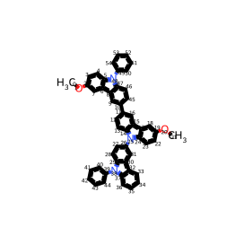 COc1ccc2c(c1)c1cc(-c3ccc4c(c3)c3cc(OC)ccc3n4-c3ccc4c(c3)c3ccccc3n4-c3ccccc3)ccc1n2-c1ccccc1